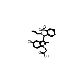 C=CCN1C(c2c(C)n(CC(=O)O)c3ccc(Cl)cc23)c2ccccc2S1(=O)=O